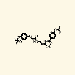 C=C(CCNC(=O)COc1ccc2c(c1)OC(F)(F)O2)NC(=O)c1ccc(OC(F)F)nc1